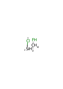 C.F.[SiH3]Cl